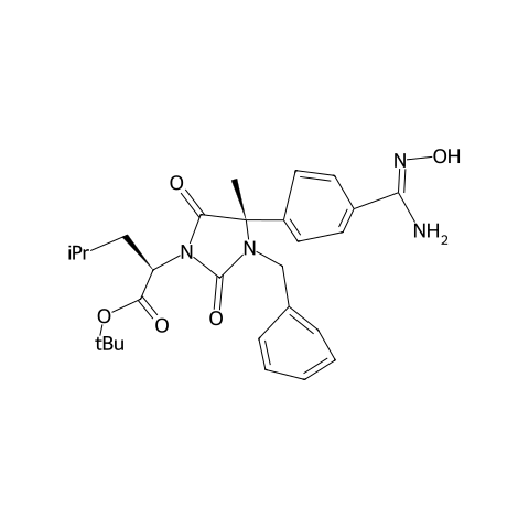 CC(C)C[C@H](C(=O)OC(C)(C)C)N1C(=O)N(Cc2ccccc2)[C@@](C)(c2ccc(C(N)=NO)cc2)C1=O